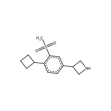 CS(=O)(=O)c1cc(C2CNC2)ccc1C1CCC1